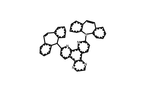 C1=Cc2ccccc2C(c2ccc3c4nccnc4c4ccc(N5c6ccccc6C=Cc6ccccc65)nc4c3n2)c2ccccc21